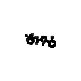 C[C@H]1[C@H](NC(=O)c2ccc(-c3ccccc3Br)n2C)C2CCN1CC2